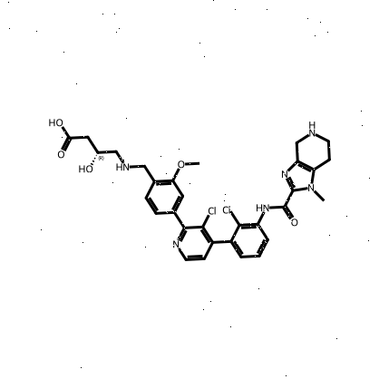 COc1cc(-c2nccc(-c3cccc(NC(=O)c4nc5c(n4C)CCNC5)c3Cl)c2Cl)ccc1CNC[C@H](O)CC(=O)O